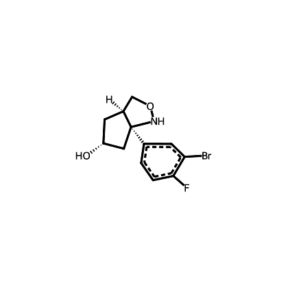 O[C@@H]1C[C@H]2CON[C@@]2(c2ccc(F)c(Br)c2)C1